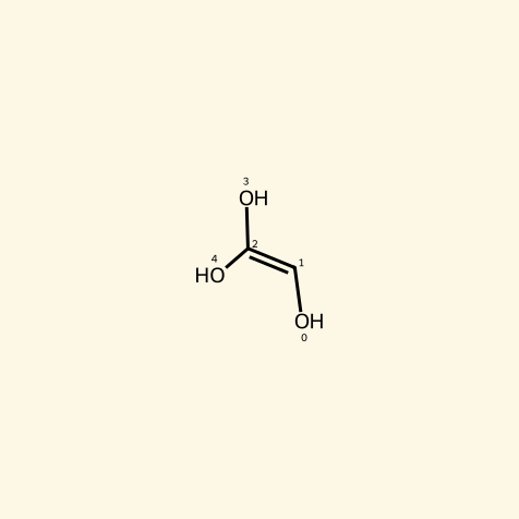 OC=C(O)O